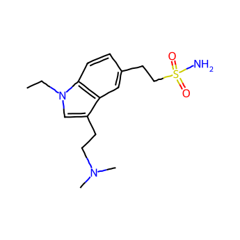 CCn1cc(CCN(C)C)c2cc(CCS(N)(=O)=O)ccc21